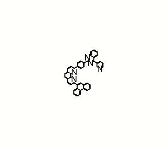 c1cncc(-c2nc(-c3ccc(-c4ccc5ccc6ccc(-c7cc8ccccc8c8ccccc78)nc6c5n4)cc3)nc3ccccc23)c1